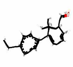 CCc1ccc(C2=CC=CC(C=O)C2(C)C)cc1